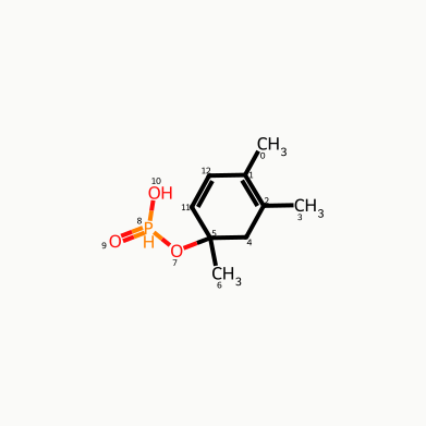 CC1=C(C)CC(C)(O[PH](=O)O)C=C1